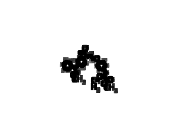 CCOC(Cc1ccc(OCCn2c(=O)sc3cc(C(=NOC)c4ccccc4)ccc32)cc1)C(=O)OC